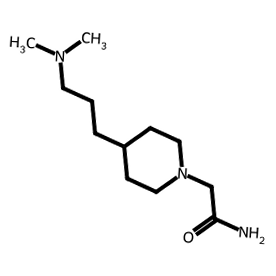 CN(C)CCCC1CCN(CC(N)=O)CC1